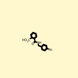 CC(=O)c1ccc(CNC(=O)c2ccccc2C(=O)O)cc1